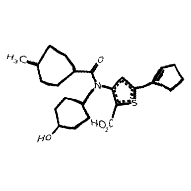 CC1CCC(C(=O)N(c2cc(C3=CCCC3)sc2C(=O)O)C2CCC(O)CC2)CC1